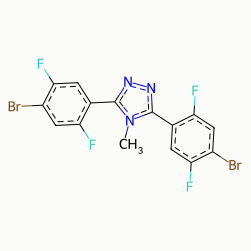 Cn1c(-c2cc(F)c(Br)cc2F)nnc1-c1cc(F)c(Br)cc1F